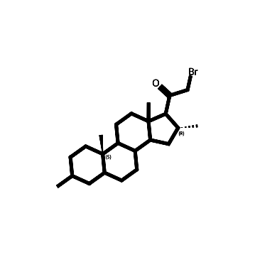 CC1CC[C@@]2(C)C(CCC3C4C[C@@H](C)C(C(=O)CBr)C4(C)CCC32)C1